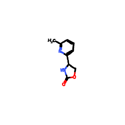 Cc1cccc(C2COC(=O)N2)n1